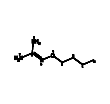 CCCCON=C(N)N